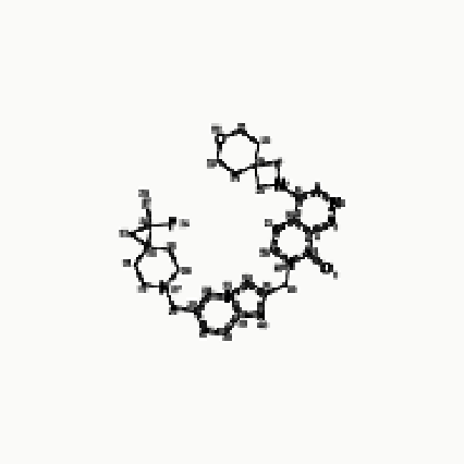 O=c1c2cncc(N3CC4(CCOCC4)C3)c2ccn1Cc1cn2cc(CN3CCC4(CC3)CC4(F)F)ccc2n1